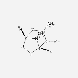 CN1[C@@H]2CC[C@H]1[C@@H](F)[C@@H](N)C2